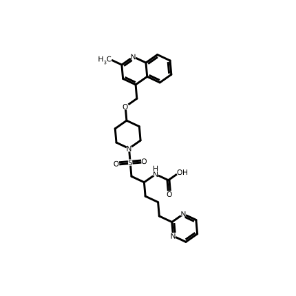 Cc1cc(COC2CCN(S(=O)(=O)CC(CCCc3ncccn3)NC(=O)O)CC2)c2ccccc2n1